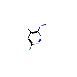 O=C(O)Nc1nnc(Cl)cc1C(F)(F)F